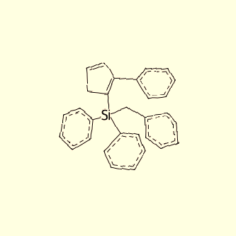 C1=CC(c2ccccc2)=C([Si](Cc2ccccc2)(c2ccccc2)c2ccccc2)C1